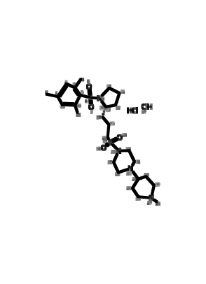 Cc1cc(C)c(S(=O)(=O)N2CCC[C@@H]2CCCS(=O)(=O)N2CCN(C3CCN(C)CC3)CC2)c(C)c1.Cl.Cl